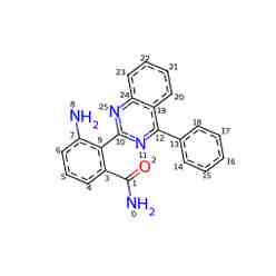 NC(=O)c1cccc(N)c1-c1nc(-c2ccccc2)c2ccccc2n1